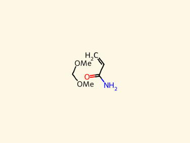 C=CC(N)=O.COCOC